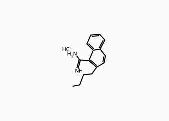 CCCCc1ccc2ccccc2c1C(=N)N.Cl